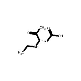 CCN[C@@H](CC(=O)O)C(C)=O